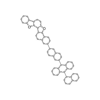 c1ccc2c(-c3c4ccccc4c(-c4ccc5cc(-c6ccc7c(ccc8c7oc7ccc9c%10ccccc%10oc9c78)c6)ccc5c4)c4ccccc34)cccc2c1